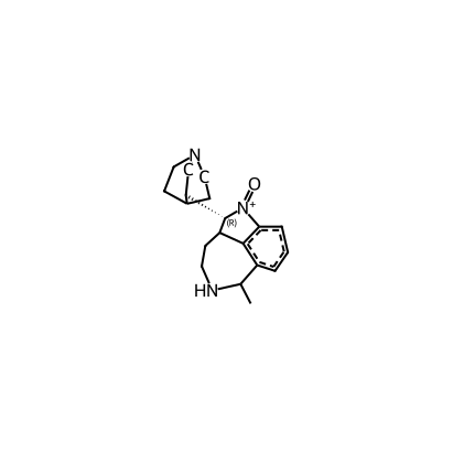 CC1NCCC2c3c1cccc3[N+](=O)[C@H]2C1CN2CCC1CC2